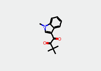 Cn1cc(C(=O)C(=O)C(C)(C)C)c2ccccc21